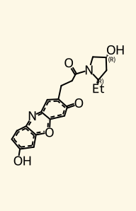 CC[C@@H]1C[C@@H](O)CN1C(=O)CCc1cc2nc3ccc(O)cc3oc-2cc1=O